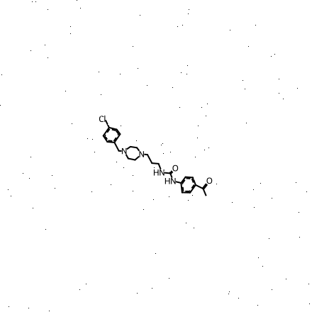 CC(=O)c1ccc(NC(=O)NCCCN2CCN(Cc3ccc(Cl)cc3)CC2)cc1